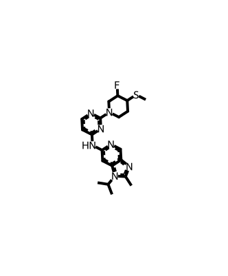 CSC1CCN(c2nccc(Nc3cc4c(cn3)nc(C)n4C(C)C)n2)CC1F